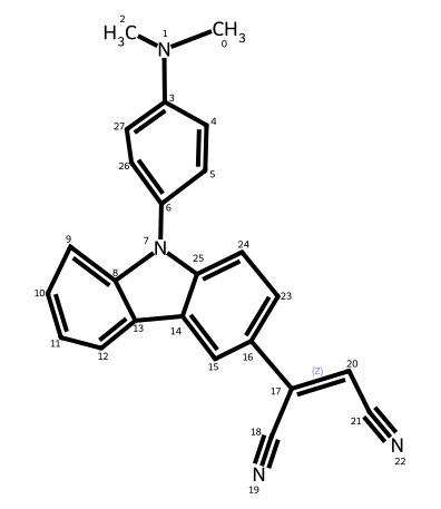 CN(C)c1ccc(-n2c3ccccc3c3cc(/C(C#N)=C/C#N)ccc32)cc1